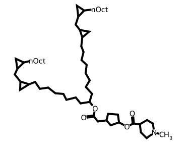 CCCCCCCCC1CC1CC1CC1CCCCCCCCC(CCCCCCCCC1CC1CC1CC1CCCCCCCC)OC(=O)CC1CCC(OC(=O)C2CCN(C)CC2)C1